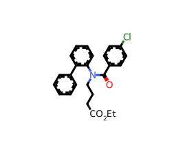 CCOC(=O)CCCN(C(=O)c1ccc(Cl)cc1)c1ccccc1-c1ccccc1